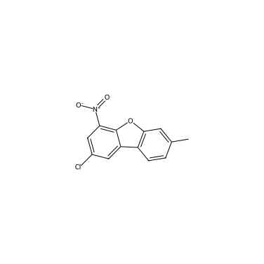 Cc1ccc2c(c1)oc1c([N+](=O)[O-])cc(Cl)cc12